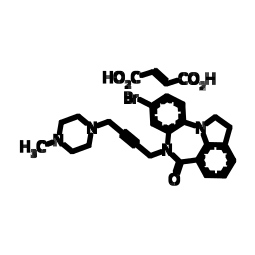 CN1CCN(CC#CCN2C(=O)c3cccc4c3N(CC4)c3ccc(Br)cc32)CC1.O=C(O)C=CC(=O)O